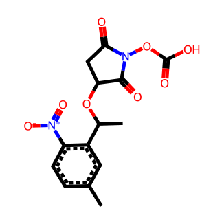 Cc1ccc([N+](=O)[O-])c(C(C)OC2CC(=O)N(OC(=O)O)C2=O)c1